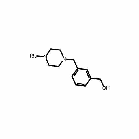 CC(C)(C)N1CCN(Cc2cccc(CO)c2)CC1